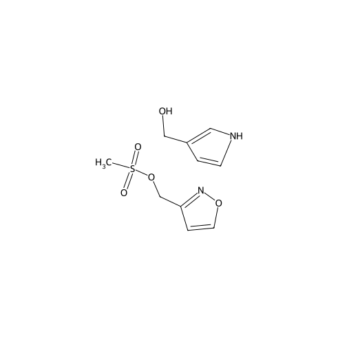 CS(=O)(=O)OCc1ccon1.OCc1cc[nH]c1